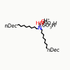 CCCCCCCCCCCCCCCCCCN(CC)CCCCCCCCCCCCCCCCCC.O=S(=O)(O)O.O=S(=O)([O-])O.[H+]